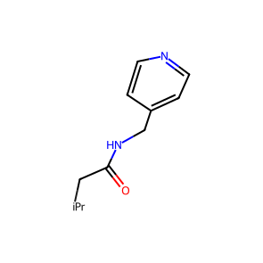 CC(C)CC(=O)NCc1ccncc1